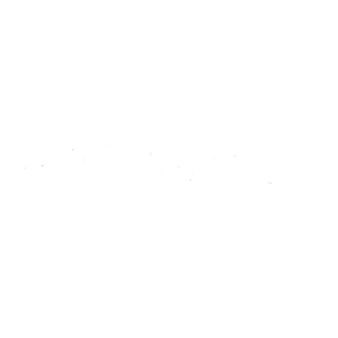 NCc1ccc(NC(=O)/C=C/c2ccc(-c3ccc(Cl)cc3)cc2)cc1